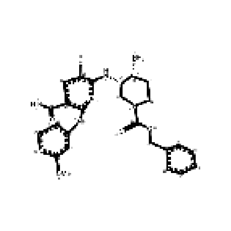 COc1cc(Nc2nc(N[C@H]3CN(C(=O)OCc4ccccc4)CC[C@H]3N)c(F)cc2C(N)=O)ccn1